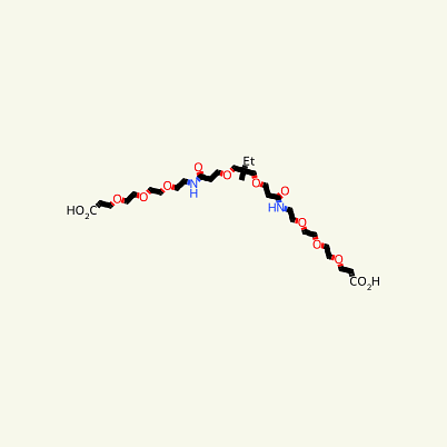 CCC(C)(COCCC(=O)NCCOCCOCCOCCC(=O)O)COCCC(=O)NCCOCCOCCOCCC(=O)O